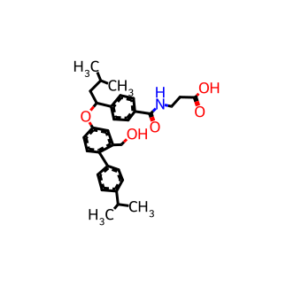 CC(C)CC(Oc1ccc(-c2ccc(C(C)C)cc2)c(CO)c1)c1ccc(C(=O)NCCC(=O)O)cc1